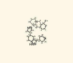 Fc1cccc(F)c1CN1CCC[C@@H](n2cc(-c3ccc4[nH]nc(-c5ccncc5)c4c3)cn2)C1